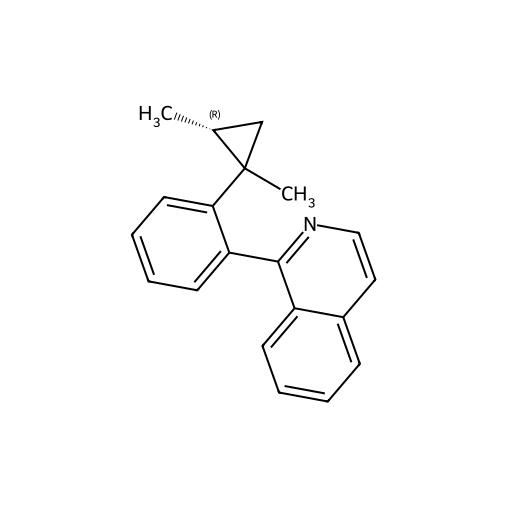 C[C@@H]1CC1(C)c1ccccc1-c1nccc2ccccc12